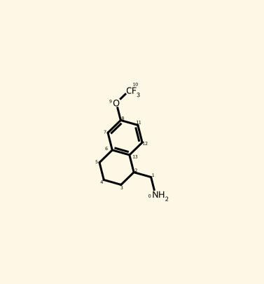 NCC1CCCc2cc(OC(F)(F)F)ccc21